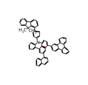 CC1(C)c2ccccc2-c2cccc(-c3ccc(N(c4ccc(-c5ccc6c7ccccc7c7ccccc7c6c5)cc4)c4ccccc4-c4cccc(-c5cccc6ccccc56)c4)cc3)c21